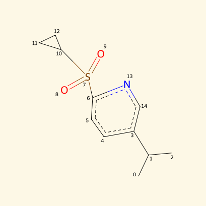 CC(C)c1ccc(S(=O)(=O)C2CC2)nc1